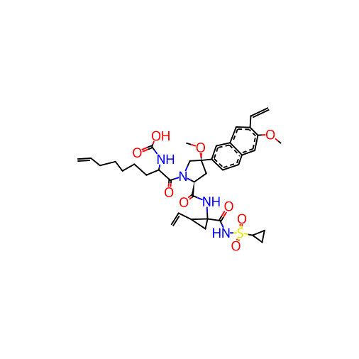 C=CCCCCCC(NC(=O)O)C(=O)N1C[C@](OC)(c2ccc3cc(OC)c(C=C)cc3c2)C[C@H]1C(=O)NC1(C(=O)NS(=O)(=O)C2CC2)CC1C=C